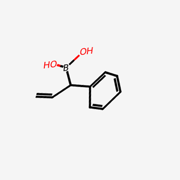 C=CC(B(O)O)c1ccccc1